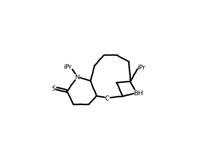 CC(C)N1C(=S)CCC2CC3BC(C(C)C)(CCCCC21)C3